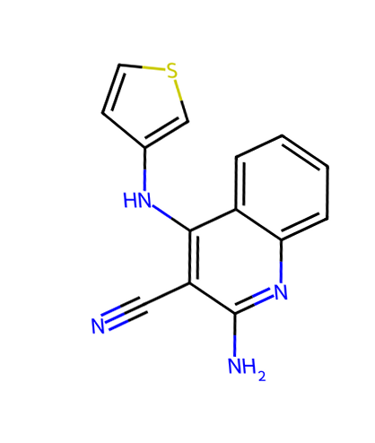 N#Cc1c(N)nc2ccccc2c1Nc1ccsc1